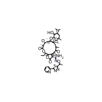 CC[C@H]1OC(=O)[C@H](C)C(=O)[C@H](C)[C@@H](O[C@@H]2O[C@H](C)C[C@H](N(C)C)[C@H]2O)[C@](C)(OC)C[C@@H](C)C(=O)[C@H](C)[C@H]2[C@H](/C(N)=N/O[C@@H](C)c3nnc(-c4ccccn4)s3)C(=O)O[C@@]21C